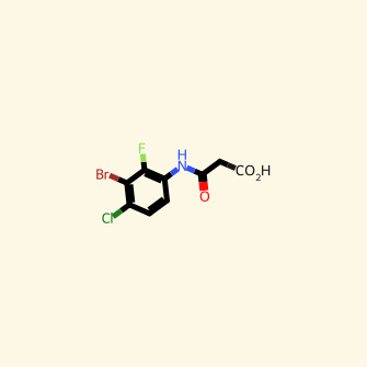 O=C(O)CC(=O)Nc1ccc(Cl)c(Br)c1F